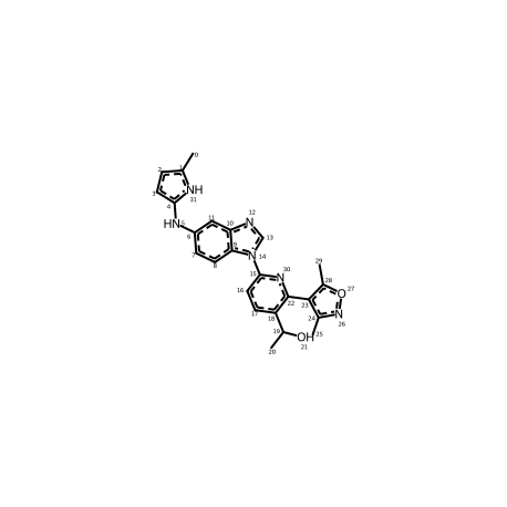 Cc1ccc(Nc2ccc3c(c2)ncn3-c2ccc(C(C)O)c(-c3c(C)noc3C)n2)[nH]1